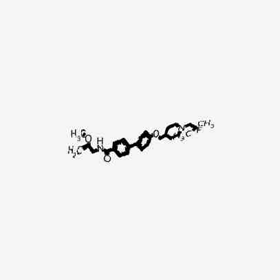 C=C(CNC(=O)c1ccc(-c2ccc(OCC3CCN(CC(C)(C)F)CC3)cc2)cc1)OC